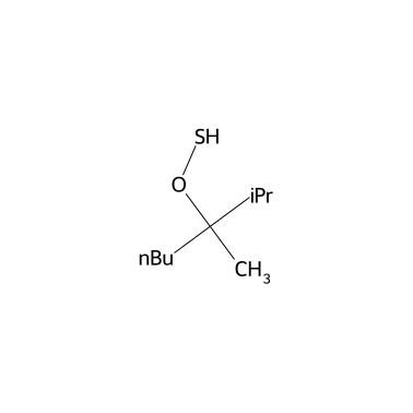 CCCCC(C)(OS)C(C)C